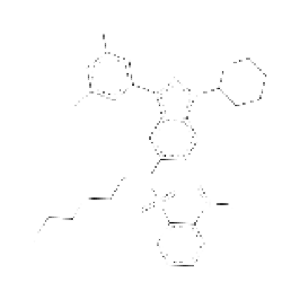 O=[N+]([O-])c1ccccc1S(=O)(=O)N(CCOCCO)c1ccc2c(c1)c(-c1cc(O)cc(Cl)c1)nn2C1CCCCO1